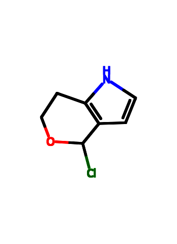 ClC1OCCc2[nH]ccc21